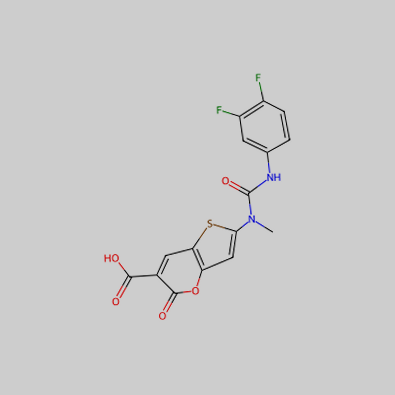 CN(C(=O)Nc1ccc(F)c(F)c1)c1cc2oc(=O)c(C(=O)O)cc2s1